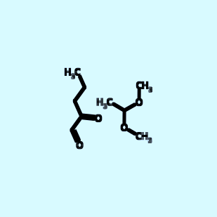 CCCC(=O)C=O.COC(C)OC